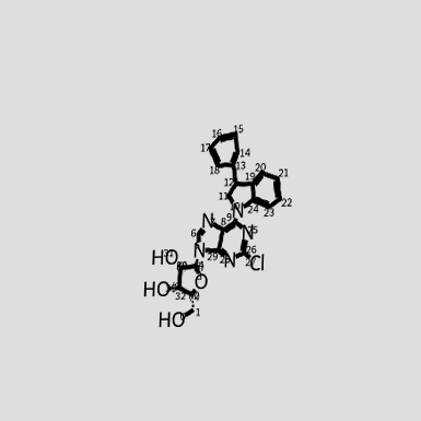 OC[C@H]1O[C@@H](n2cnc3c(N4CC(c5ccccc5)c5ccccc54)nc(Cl)nc32)[C@H](O)[C@@H]1O